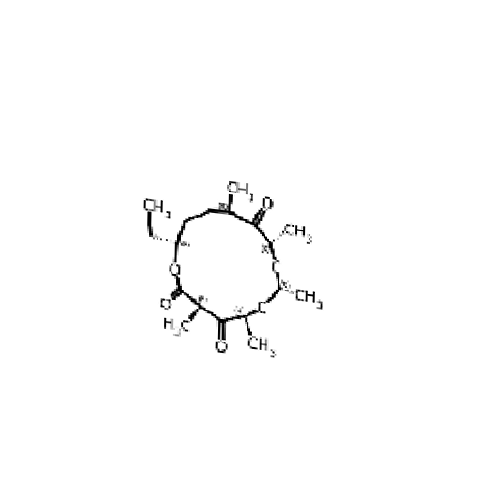 CC[C@@H]1CC[C@@H](C)C(=O)[C@H](C)C[C@H](C)C[C@@H](C)C(=O)[C@@H](C)C(=O)O1